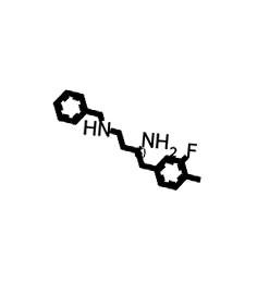 Cc1ccc(C[C@H](N)CCNCc2ccccc2)cc1F